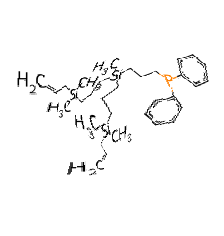 C=CC[Si](C)(C)CCC[Si](C)(CCCP(c1ccccc1)c1ccccc1)CCC[Si](C)(C)CC=C